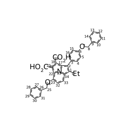 CCc1c(-c2ccc(OCc3ccccc3)cc2)c2c(C(=O)O)c(C(=O)O)c3c(OCc4ccccc4)ccc1n32